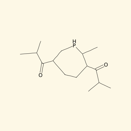 CC(C)C(=O)C1CCC(C(=O)C(C)C)C(C)PC1